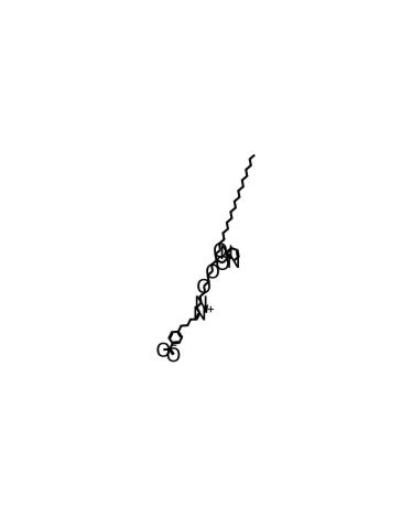 CCCCCCCCCCCCCCCCCCOCC(COCCOCCN1C=C[N+](=CCCCc2ccc(C(=O)[O-])cc2)C1)Oc1ncccn1